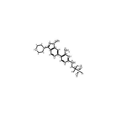 CC(C)n1nc(N2CCOCC2)c2cnc(-c3cnc(NCC(C)(C)S(C)(=O)=O)nc3N)cc21